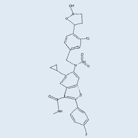 CNC(=O)c1c(-c2ccc(F)cc2)oc2cc(N(Cc3ccc(C4CCB(O)O4)c(Cl)c3)[SH](=O)=O)c(C3CC3)cc12